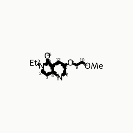 CCn1ccc2ncc(OCCOC)cc2c1=O